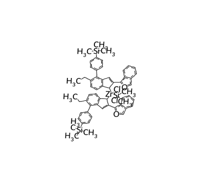 CCc1ccc2c(c1-c1ccc([Si](C)(C)C)cc1)C=C(c1occ3ccccc13)[CH]2[Zr]([Cl])([Cl])([CH]1C(c2occ3ccccc23)=Cc2c1ccc(CC)c2-c1ccc([Si](C)(C)C)cc1)=[Si](C)C